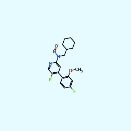 COc1cc(F)ccc1-c1cc(N(CC2CCCCC2)N=O)ncc1F